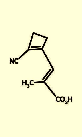 CC(=CC1=C(C#N)CC1)C(=O)O